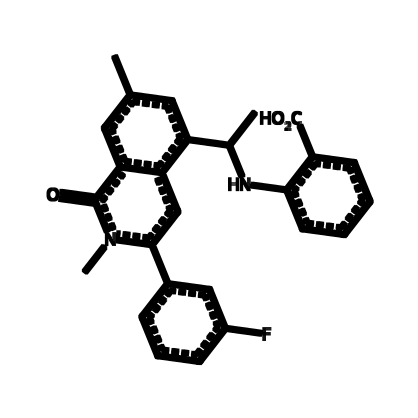 Cc1cc(C(C)Nc2ccccc2C(=O)O)c2cc(-c3cccc(F)c3)n(C)c(=O)c2c1